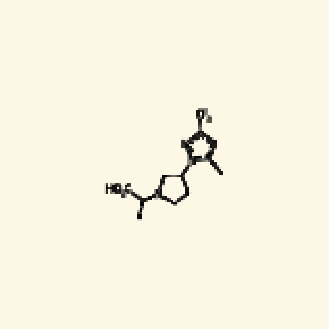 Cc1cc(C(F)(F)F)nn1C1CCN(C(C)C(=O)O)C1